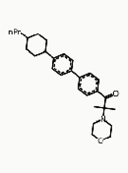 CCCC1CCC(c2ccc(-c3ccc(C(=O)C(C)(C)N4CCOCC4)cc3)cc2)CC1